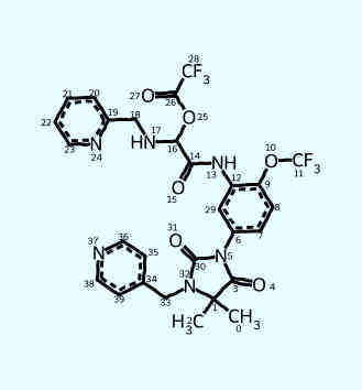 CC1(C)C(=O)N(c2ccc(OC(F)(F)F)c(NC(=O)C(NCc3ccccn3)OC(=O)C(F)(F)F)c2)C(=O)N1Cc1ccncc1